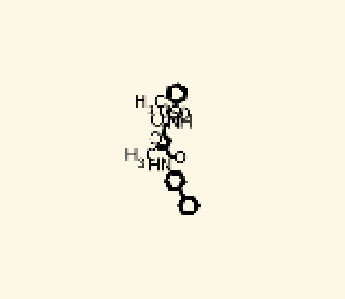 Cc1ccccc1S(=O)(=O)NC(=O)c1cc(C(=O)Nc2ccc(-c3ccccc3)cc2)c(C)o1